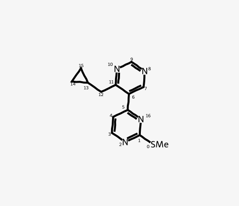 CSc1nccc(-c2cncnc2CC2CC2)n1